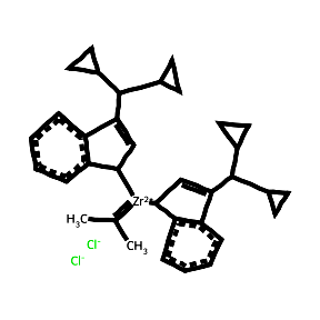 C[C](C)=[Zr+2]([CH]1C=C(C(C2CC2)C2CC2)c2ccccc21)[CH]1C=C(C(C2CC2)C2CC2)c2ccccc21.[Cl-].[Cl-]